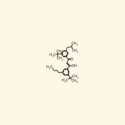 CCCCc1cc(/C(O)=C/C(=O)c2cc(CC(C)C)cc(C(C)(C)C)c2)cc(C(C)(C)C)c1